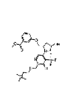 COC(=O)c1cccc(OC[C@@H]2C[C@@H](O)CN2c2cnn(COCC[Si](C)(C)C)c(=O)c2C(F)(F)F)c1